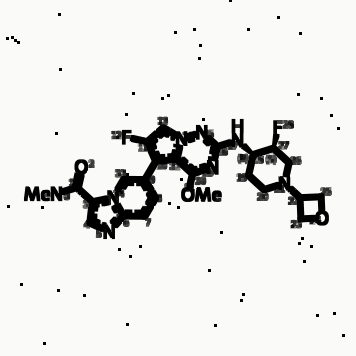 CNC(=O)c1cnc2ccc(-c3c(F)cn4nc(N[C@@H]5CCN(C6COC6)C[C@@H]5F)nc(OC)c34)cn12